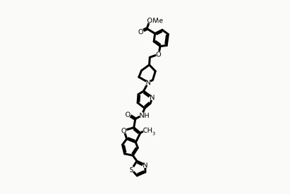 COC(=O)c1cccc(OCC2CCN(c3ccc(NC(=O)c4oc5ccc(-c6nccs6)cc5c4C)cn3)CC2)c1